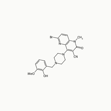 COc1cccc(CN2CCN(c3c(C#N)c(=O)n(C)c4ccc(Br)nc34)CC2)c1O